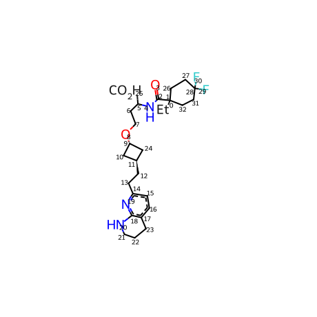 CCC1(C(=O)NC(CCO[C@H]2C[C@H](CCc3ccc4c(n3)NCCC4)C2)C(=O)O)CCC(F)(F)CC1